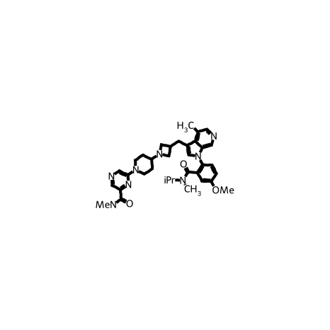 CNC(=O)c1cncc(N2CCC(N3CC(Cc4cn(-c5ccc(OC)cc5C(=O)N(C)C(C)C)c5cncc(C)c45)C3)CC2)n1